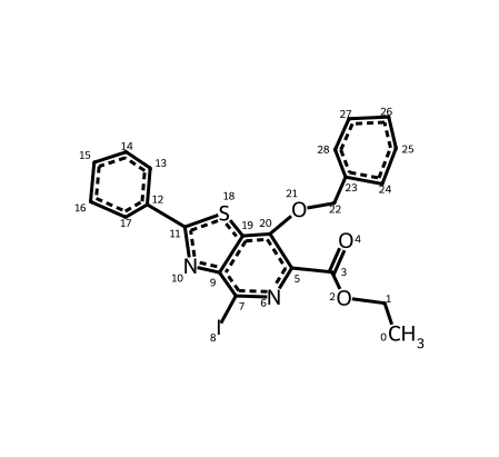 CCOC(=O)c1nc(I)c2nc(-c3ccccc3)sc2c1OCc1ccccc1